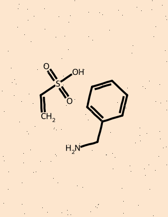 C=CS(=O)(=O)O.NCc1ccccc1